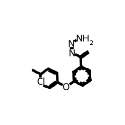 C=C(/N=N\N)c1cccc(OC(/C=C\C(C)Cl)=C/C)c1